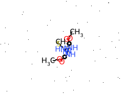 CCCCOC(=O)c1ccc(Nc2nc(NCCCSC)nc(Nc3ccc(C(=O)OCCCC)cc3)n2)cc1